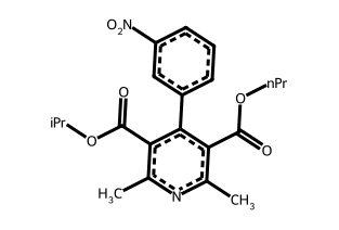 CCCOC(=O)c1c(C)nc(C)c(C(=O)OC(C)C)c1-c1cccc([N+](=O)[O-])c1